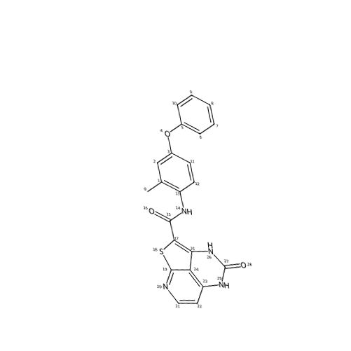 Cc1cc(Oc2ccccc2)ccc1NC(=O)c1sc2nccc3c2c1NC(=O)N3